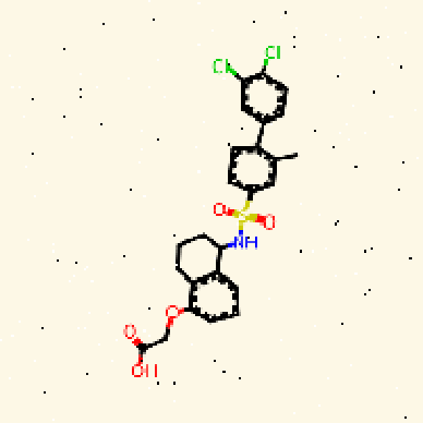 Cc1cc(S(=O)(=O)NC2CCCc3c(OCC(=O)O)cccc32)ccc1-c1ccc(Cl)c(Cl)c1